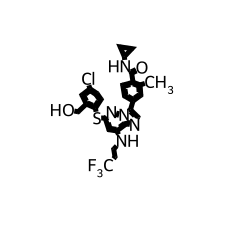 Cc1cc(-c2cnc3c(NCCC(F)(F)F)cc(Sc4ccc(Cl)cc4CO)nn23)ccc1C(=O)NC1CC1